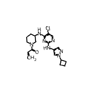 C=CC(=O)N1CCCC(Nc2nc(Nc3cnn(C4CCC4)c3)ncc2Cl)C1